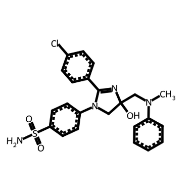 CN(CC1(O)CN(c2ccc(S(N)(=O)=O)cc2)C(c2ccc(Cl)cc2)=N1)c1ccccc1